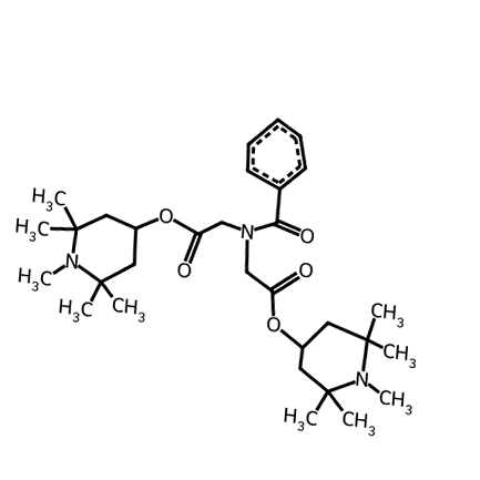 CN1C(C)(C)CC(OC(=O)CN(CC(=O)OC2CC(C)(C)N(C)C(C)(C)C2)C(=O)c2ccccc2)CC1(C)C